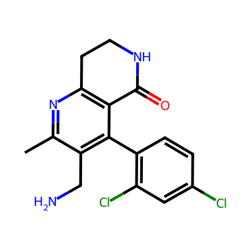 Cc1nc2c(c(-c3ccc(Cl)cc3Cl)c1CN)C(=O)NCC2